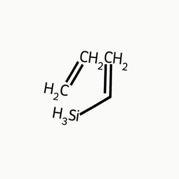 C=C.C=C[SiH3]